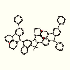 CC1(C)c2c(cc(N(c3ccccc3)c3ccc(-c4ccccc4)cc3-c3ccccc3)c3ccccc23)-c2c1c1ccc(N(c3ccccc3)c3ccc(-c4ccccc4)cc3-c3ccccc3)cc1c1ccccc21